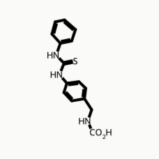 O=C(O)NCc1ccc(NC(=S)Nc2ccccc2)cc1